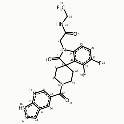 O=C(CN1C(=O)C2(CCN(C(=O)c3cnc4[nH]ncc4c3)CC2)c2c1ccc(F)c2F)NCC(F)(F)F